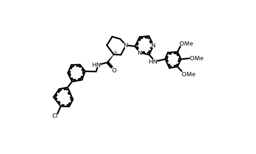 COc1cc(Nc2nccc(N3CCC[C@H](C(=O)NCc4cccc(-c5ccc(Cl)cc5)c4)C3)n2)cc(OC)c1OC